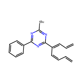 C=C/C=C\C(=C/C=C)c1nc(-c2ccccc2)nc(C(C)(C)C)n1